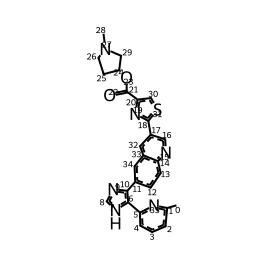 Cc1cccc(-c2[nH]cnc2-c2ccc3ncc(-c4nc(C(=O)O[C@@H]5CCN(C)C5)cs4)cc3c2)n1